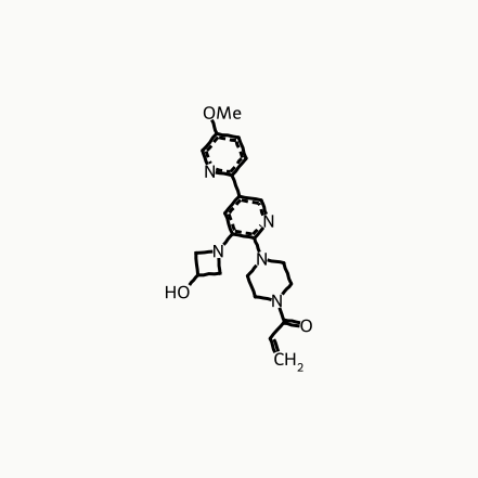 C=CC(=O)N1CCN(c2ncc(-c3ccc(OC)cn3)cc2N2CC(O)C2)CC1